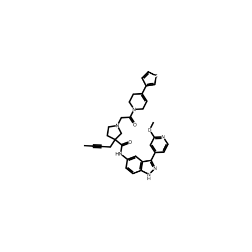 CC#CCC1(C(=O)Nc2ccc3[nH]nc(-c4ccnc(OC)c4)c3c2)CCN(CC(=O)N2CC=C(c3ccsc3)CC2)C1